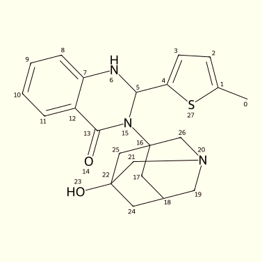 Cc1ccc(C2Nc3ccccc3C(=O)N2C23CC4CN(CC(O)(C4)C2)C3)s1